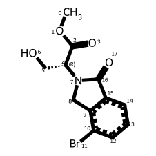 COC(=O)[C@@H](CO)N1Cc2c(Br)cccc2C1=O